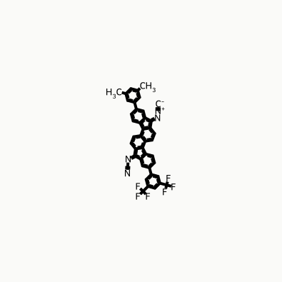 [C-]#[N+]/N=c1\c2cc(-c3cc(C)cc(C)c3)ccc2c2c1ccc1c2ccc2/c(=N/C#N)c3cc(-c4cc(C(F)(F)F)cc(C(F)(F)F)c4)ccc3c21